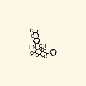 CO[C@H]1OC2COC(c3ccccc3)O[C@H]2C(O)C1Nc1ccc2cc(I)c(=O)oc2c1